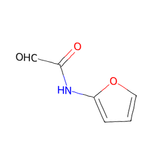 O=CC(=O)Nc1ccco1